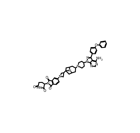 Nc1ncnc2c1c(-c1ccc(Oc3ccccc3)cc1)nn2C1CCN(C2CC3CC4(C5CN(c6ccc7c(c6)C(=O)N(C6CCC(=O)NC6=O)C7=O)C5)CC(C2)N34)CC1